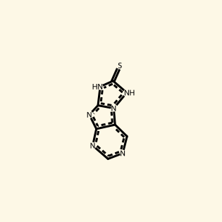 S=c1[nH]c2nc3ncncc3n2[nH]1